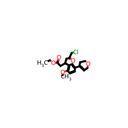 CCOC(=O)CC(CC(=O)CCl)c1cc(C2=CCOCC2)ccc1OC